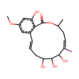 COc1cc(O)c2c(c1)/C=C/CC(O)C(O)C(O)/C(I)=C\CC(C)OC2=O